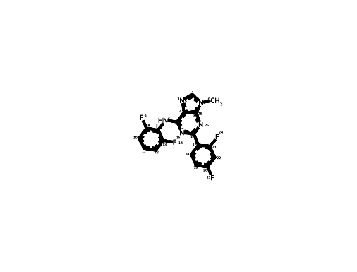 Cn1cnc2c(Nc3c(F)cccc3F)nc(-c3ccc(F)cc3F)nc21